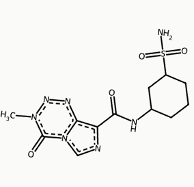 Cn1nnc2c(C(=O)NC3CCCC(S(N)(=O)=O)C3)ncn2c1=O